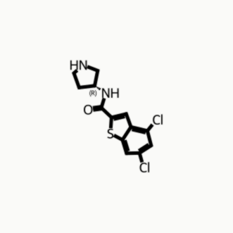 O=C(N[C@@H]1CCNC1)c1cc2c(Cl)cc(Cl)cc2s1